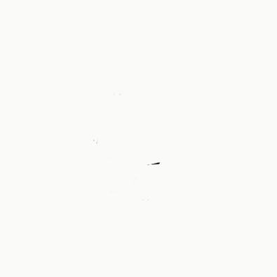 O=C(O)[C@H](Cc1ccccc1)OC(=O)N1CCC[C@@H]1CO